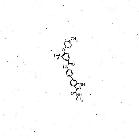 CNC(=O)c1n[nH]c2cc(-c3ccc(NC(=O)c4ccc(OC5CCN(C)CC5)c(C(F)(F)F)c4)cc3)ccc12